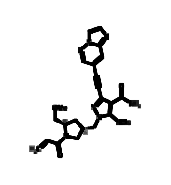 C=CC(=O)N1C[C@@H](Cn2nc(C#Cc3cnn4ccnc4c3)c(C(N)=O)c2NC)C[C@@H]1COC